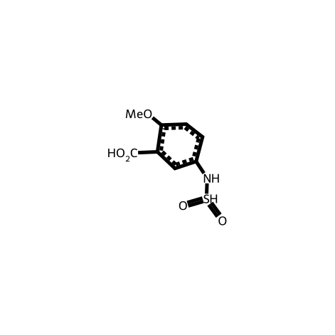 COc1ccc(N[SH](=O)=O)cc1C(=O)O